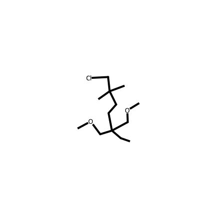 CCC(CCC(C)(C)CCl)(COC)COC